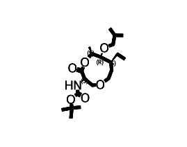 CC[C@H]1CCOC[C@H](NC(=O)OC(C)(C)C)C(=O)O[C@@H](C)[C@@H]1OCC(C)C